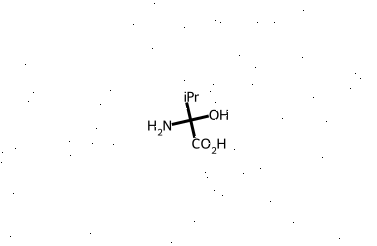 CC(C)C(N)(O)C(=O)O